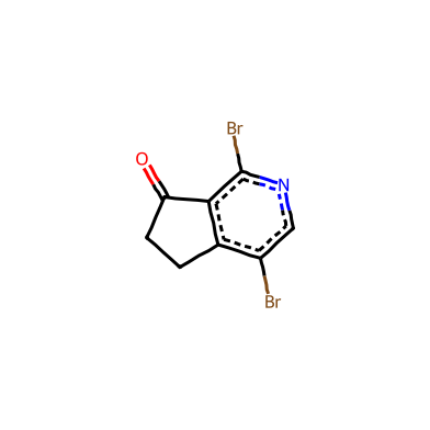 O=C1CCc2c(Br)cnc(Br)c21